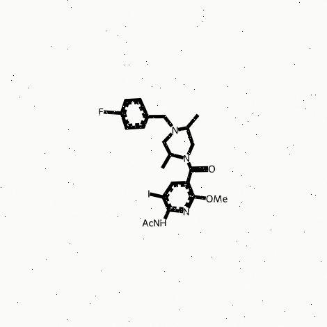 COc1nc(NC(C)=O)c(I)cc1C(=O)N1CC(C)N(Cc2ccc(F)cc2)CC1C